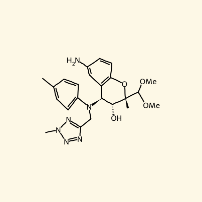 COC(OC)[C@@]1(C)Oc2ccc(N)cc2[C@H](N(Cc2nnn(C)n2)c2ccc(C)cc2)[C@H]1O